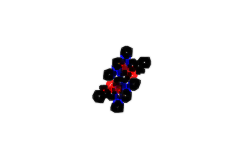 CC1(C)c2ccccc2-c2cc3c4c(c21)Oc1cc2c5c6c(cc2c2c1P4(=S)c1c(cccc1N2c1ccccc1)N3c1ccccc1)Oc1c2c(cc3c1P6(=S)c1c(cccc1N5c1ccccc1)N3c1ccccc1)-c1ccccc1C2(C)C